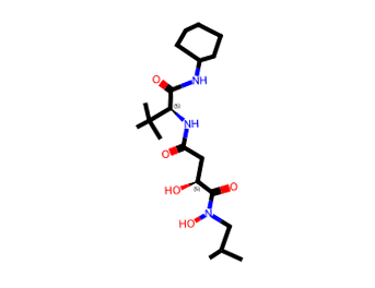 CC(C)CN(O)C(=O)[C@@H](O)CC(=O)N[C@H](C(=O)NC1CCCCC1)C(C)(C)C